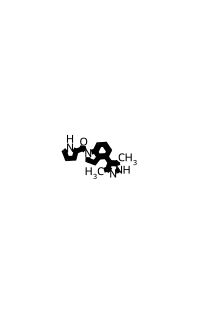 Cc1n[nH]c(C)c1-c1cccc2c1CCN2C(=O)C1CCCN1